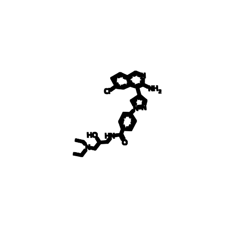 CCN(CC)CC(O)CNC(=O)c1ccc(-n2cc(-c3c(N)ncc4ccc(Cl)cc34)cn2)cc1